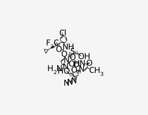 Cc1cn([C@H]2C[C@H](N=[N+]=[N-])[C@@H](CO)O2)c(=O)[nH]c1=O.Nc1ccn([C@H]2CS[C@@H](CO)O2)c(=O)n1.O=C1Nc2ccc(Cl)cc2[C@@](C#CC2CC2)(C(F)(F)F)O1